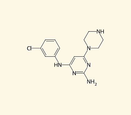 Nc1nc(Nc2cccc(Cl)c2)cc(N2CCNCC2)n1